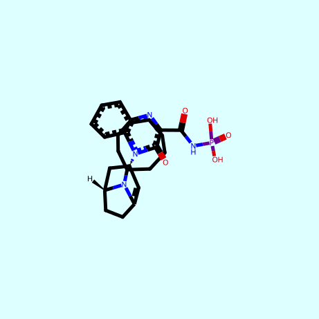 O=C(NP(=O)(O)O)c1nc2ccccc2n([C@@H]2C=C3CC[C@H](C2)N3C2CCCCCCC2)c1=O